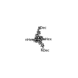 CCCCCCCCCCCCc1csc(-c2ccc(C3=C4C(=O)N(CC(CCCCCC)CCCCCCCC)C(c5ccc(-c6cc(CCCCCCCCCCCC)cs6)s5)=C4C(=O)N3CC(CCCCCC)CCCCCCCC)s2)c1